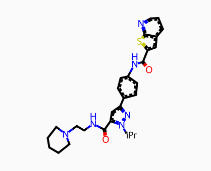 CC(C)n1nc(-c2ccc(NC(=O)c3cc4cccnc4s3)cc2)cc1C(=O)NCCN1CCCCC1